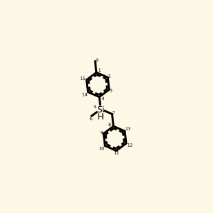 Cc1ccc([SiH](C)Cc2ccccc2)cc1